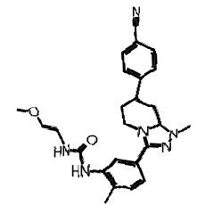 COCCNC(=O)Nc1cc(C2=NN(C)C3CC(c4ccc(C#N)cc4)CCN23)ccc1C